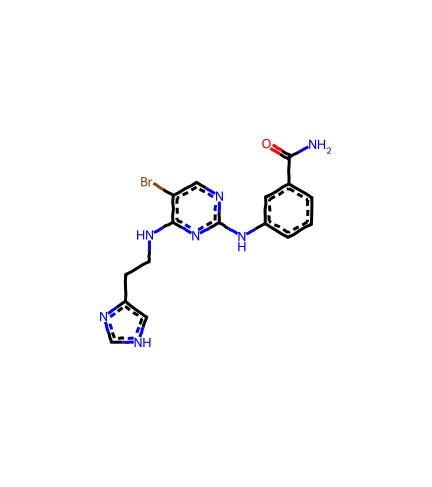 NC(=O)c1cccc(Nc2ncc(Br)c(NCCc3c[nH]cn3)n2)c1